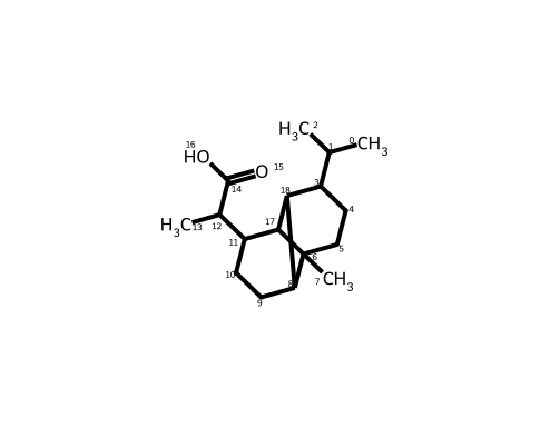 CC(C)C1CCC2(C)C3CCC(C(C)C(=O)O)C2C13